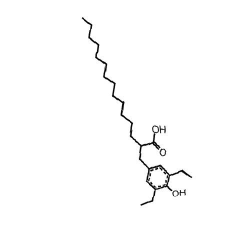 CCCCCCCCCCCCCC(Cc1cc(CC)c(O)c(CC)c1)C(=O)O